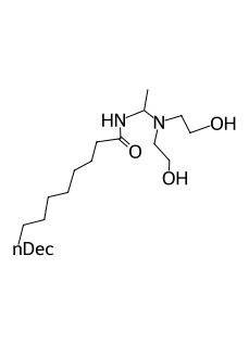 CCCCCCCCCCCCCCCCCC(=O)NC(C)N(CCO)CCO